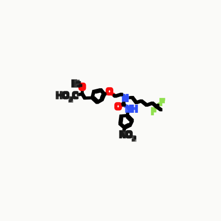 CCOC(Cc1ccc(OCCN(CCCCCC(C)(F)F)C(=O)Nc2ccc([N+](=O)[O-])cc2)cc1)C(=O)O